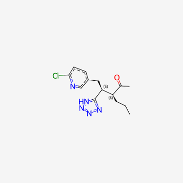 CCC[C@H](C(C)=O)[C@H](Cc1ccc(Cl)nc1)c1nnn[nH]1